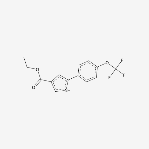 CCOC(=O)c1c[nH]c(-c2ccc(OC(F)(F)F)cc2)c1